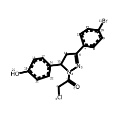 O=C(CCl)N1N=C(c2ccc(Br)cc2)CC1c1ccc(O)cc1